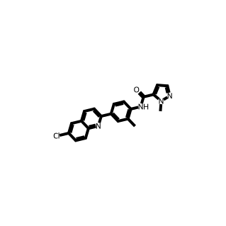 Cc1cc(-c2ccc3cc(Cl)ccc3n2)ccc1NC(=O)c1ccnn1C